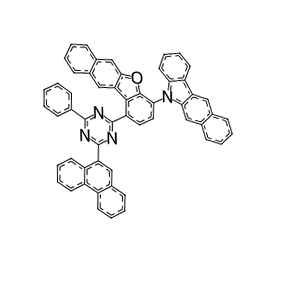 c1ccc(-c2nc(-c3cc4ccccc4c4ccccc34)nc(-c3ccc(-n4c5ccccc5c5cc6ccccc6cc54)c4oc5cc6ccccc6cc5c34)n2)cc1